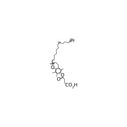 Cc1c(C)c2c(c(C)c1OC(=O)CCC(=O)O)CC[C@@](C)(CCCCCCC[C@H](C)CCCC(C)C)O2